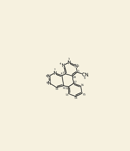 N#Cc1nnnc2c3nnncc3c3ccccc3c12